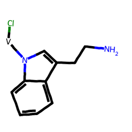 NCCc1c[n]([V][Cl])c2ccccc12